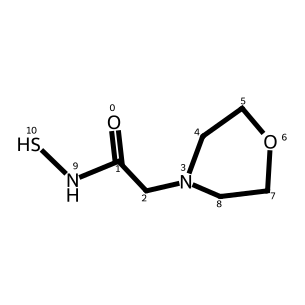 O=C(CN1CCOCC1)NS